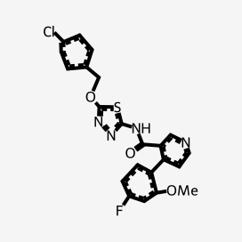 COc1cc(F)ccc1-c1ccncc1C(=O)Nc1nnc(OCc2ccc(Cl)cc2)s1